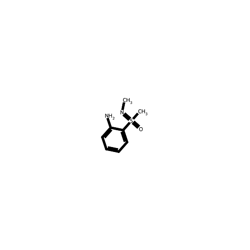 CN=S(C)(=O)c1ccccc1N